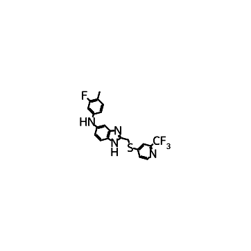 Cc1ccc(Nc2ccc3[nH]c(CSc4ccnc(C(F)(F)F)c4)nc3c2)cc1F